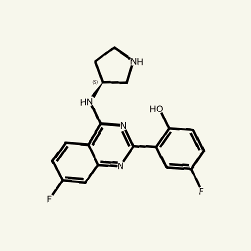 Oc1ccc(F)cc1-c1nc(N[C@H]2CCNC2)c2ccc(F)cc2n1